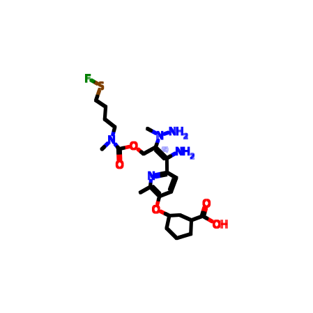 Cc1nc(/C(N)=C(\COC(=O)N(C)CCCCSF)N(C)N)ccc1OC1CCCC(C(=O)O)C1